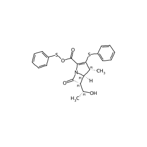 C[C@@H](O)[C@@H]1C(=O)N2C(C(=O)OSc3ccccc3)=C(Sc3ccccc3)[C@H](C)[C@@H]12